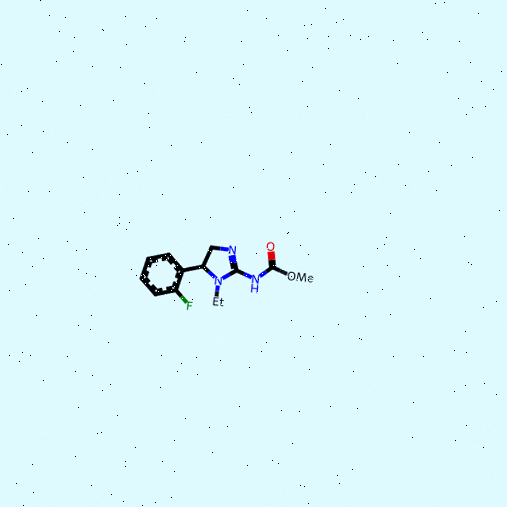 CCN1C(NC(=O)OC)=NCC1c1ccccc1F